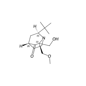 COC[C@@]1(CO)C(=O)[C@@H]2CCN1[C@H](C(C)(C)C)C2